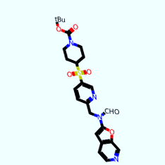 CC(C)(C)OC(=O)N1CCC(S(=O)(=O)c2ccc(CN(C=O)c3cc4ccncc4o3)nc2)CC1